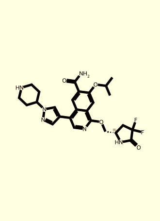 CC(C)Oc1cc2c(OC[C@@H]3CC(F)(F)C(=O)N3)ncc(-c3cnn(C4CCNCC4)c3)c2cc1C(N)=O